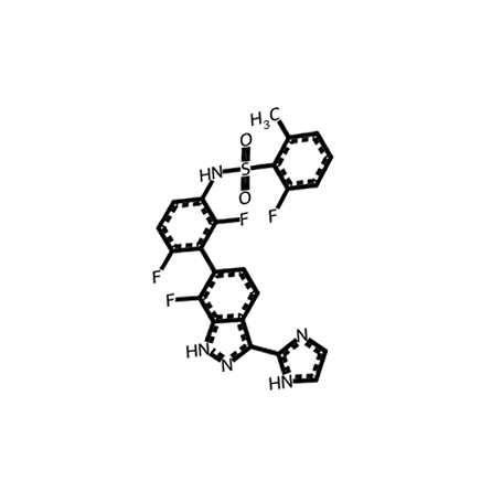 Cc1cccc(F)c1S(=O)(=O)Nc1ccc(F)c(-c2ccc3c(-c4ncc[nH]4)n[nH]c3c2F)c1F